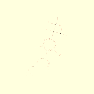 CSCCN(C=O)c1c(Br)cc(C(F)(C(F)(F)F)C(F)(F)F)cc1Br